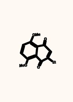 CCC1=CC(=O)c2c(OC)ccc(OC)c2C1=O